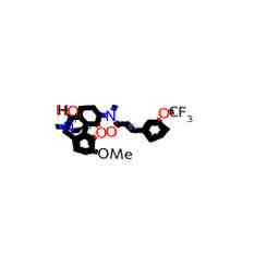 COc1ccc2c3c1OC1C(N(C)C(=O)/C=C/c4cccc(OC(F)(F)F)c4)CC[C@@]4(O)[C@@H](C2)N(C)CC[C@]314